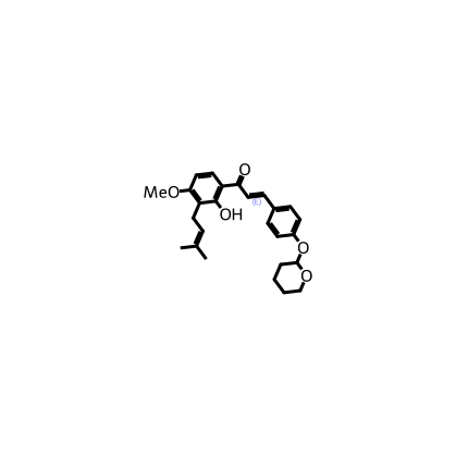 COc1ccc(C(=O)/C=C/c2ccc(OC3CCCCO3)cc2)c(O)c1CC=C(C)C